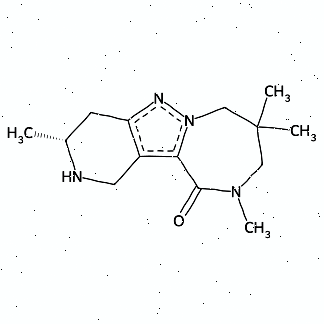 C[C@@H]1Cc2nn3c(c2CN1)C(=O)N(C)CC(C)(C)C3